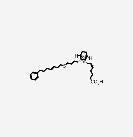 O=C(O)CCC/C=C\C[C@@H]1[C@H](CCCCSCCC=CCCCc2ccccc2)[C@@H]2CC[C@H]1S2